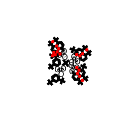 CC(C)(C)c1ccc(OP(OCC(COP(Oc2ccc(C(C)(C)C)cc2C(C)(C)C)Oc2ccc(C(C)(C)C)cc2C(C)(C)C)(COP(Oc2ccc(C(C)(C)C)cc2C(C)(C)C)Oc2ccc(C(C)(C)C)cc2C(C)(C)C)COP(Oc2ccc(C(C)(C)C)cc2C(C)(C)C)Oc2ccc(C(C)(C)C)cc2C(C)(C)C)Oc2ccc(C(C)(C)C)cc2C(C)(C)C)c(C(C)(C)C)c1